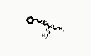 CCOC(C=C[SiH2]CCc1ccccc1)OCC